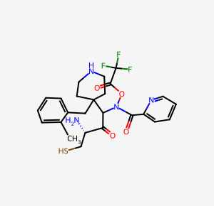 Cc1ccccc1CC1(C(C(=O)[C@@H](N)CS)N(OC(=O)C(F)(F)F)C(=O)c2ccccn2)CCNCC1